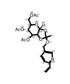 C=Cc1ccc(COC2(C)OC3C(OC(C)=O)[C@H](OC(C)=O)C(COC(C)=O)O[C@@H]3O2)cn1